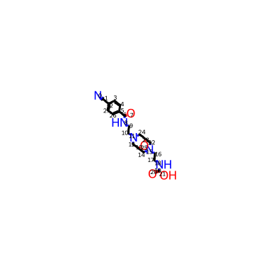 N#Cc1ccc(C(=O)NCCN2CC3CN(CCNC(=O)O)CC(C2)O3)cc1